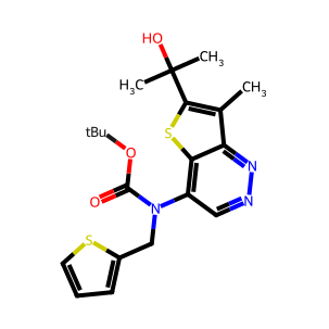 Cc1c(C(C)(C)O)sc2c(N(Cc3cccs3)C(=O)OC(C)(C)C)cnnc12